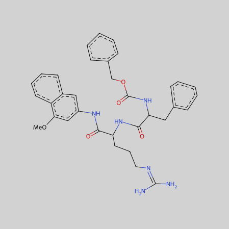 COc1cc(NC(=O)C(CCCN=C(N)N)NC(=O)C(Cc2ccccc2)NC(=O)OCc2ccccc2)cc2ccccc12